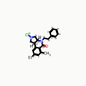 CCc1cc(C)c2c(c1)[C@H]1CN(Cl)C[C@@H]1N(CCc1ccccc1)C2=O